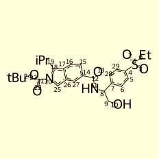 CCS(=O)(=O)c1ccc(C(CO)NC(=O)c2ccc3c(C(C)C)n(C(=O)OC(C)(C)C)cc3c2)cc1